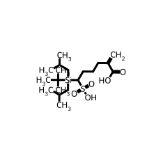 C=C(CCCC([Si](CC(C)C)(CC(C)C)C(C)(C)C)S(=O)(=O)O)C(=O)O